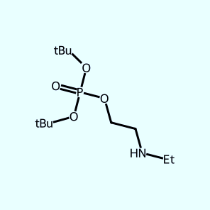 CCNCCOP(=O)(OC(C)(C)C)OC(C)(C)C